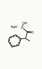 CC(C(=O)OO)c1ccccc1.[NaH]